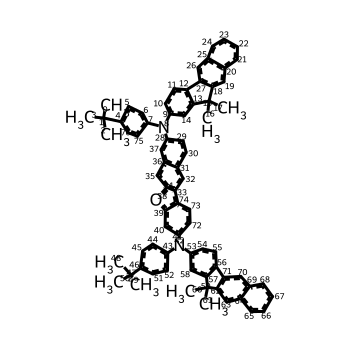 CC(C)(C)c1ccc(N(c2ccc3c(c2)C(C)(C)c2cc4ccccc4cc2-3)c2ccc3cc4c(cc3c2)oc2cc(N(c3ccc(C(C)(C)C)cc3)c3ccc5c(c3)C(C)(C)c3cc6ccccc6cc3-5)ccc24)cc1